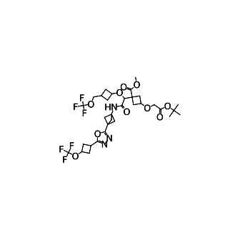 COC(=O)C1(C(OC2CC(COC(F)(F)F)C2)C(=O)NC23CC(c4nnc(C5CC(OC(F)(F)F)C5)o4)(C2)C3)CC(OCC(=O)OC(C)(C)C)C1